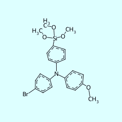 COc1ccc(N(c2ccc(Br)cc2)c2ccc([Si](OC)(OC)OC)cc2)cc1